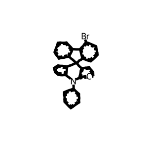 Brc1cccc2c1-c1ccccc1C21c2ccccc2N(c2ccccc2)c2ccccc21